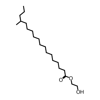 CCCC(C)CCCCCCCCCCCCCC(=O)OCCO